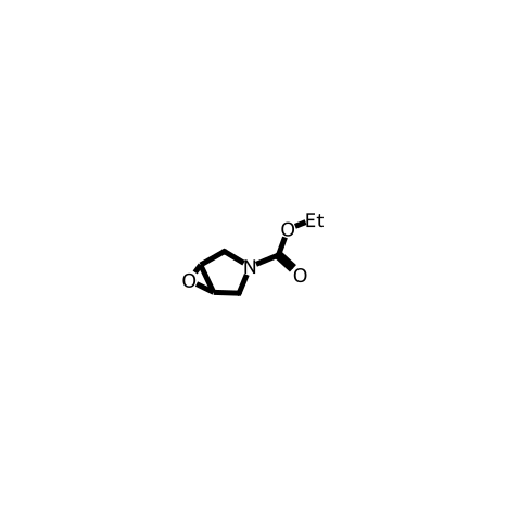 CCOC(=O)N1CC2OC2C1